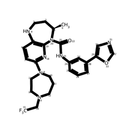 C[C@@H]1CCNc2ccc(N3CCCN(CC(F)(F)F)CC3)nc2N1C(=O)Nc1cccc(-c2cnco2)c1